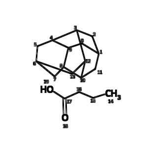 C1C2CC3C4CC5CC(C14)C(C2)C3C5.CCCC(=O)O